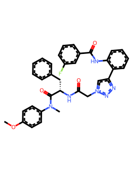 COc1ccc(N(C)C(=O)[C@H](Cc2ccccc2)NC(=O)Cn2cc(-c3ccccc3NC(=O)c3cccc(F)c3)nn2)cc1